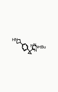 CC(C)(C)n1nnc(C2(c3ccc(C4CNC4)cc3)CC2)n1